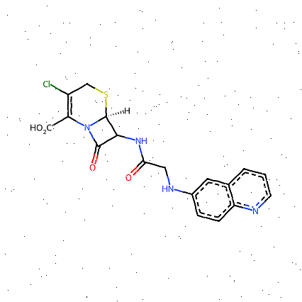 O=C(CNc1ccc2ncccc2c1)NC1C(=O)N2C(C(=O)O)=C(Cl)CS[C@@H]12